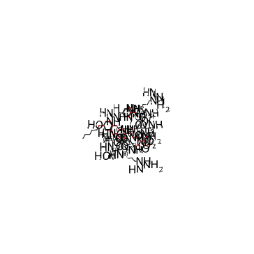 CCCCCCCCNC(=N)NCc1ccc(C(=O)N[C@@H](CCCNC(=N)N)C(=O)N[C@@H](C)C(=O)N[C@@H](Cc2ccc(O)cc2)C(=O)N[C@H](C(=O)N[C@@H](CC(N)=O)C(=O)N[C@@H](CC(C)C)C(=O)N[C@H](C(=O)N[C@H](C(=O)N[C@@H](CCCNC(=N)N)C(=O)N[C@@H](CCC(N)=O)C(=O)N[C@@H](CCCNC(=N)N)C(=O)N[C@@H](Cc2ccc(O)cc2)C(N)=O)[C@@H](C)O)[C@@H](C)CC)[C@@H](C)CC)cc1